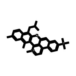 Cc1ccc2c(CC(C)C)c3c(c(C)c2c1)-c1c2c(cc4cc([Si](C)(C)C)ccc4c2cc[n+]1C)O3